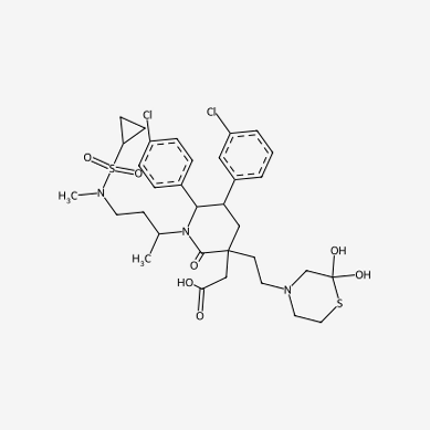 CC(CCN(C)S(=O)(=O)C1CC1)N1C(=O)C(CCN2CCSC(O)(O)C2)(CC(=O)O)CC(c2cccc(Cl)c2)C1c1ccc(Cl)cc1